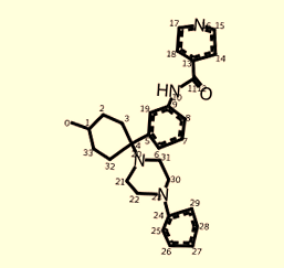 CC1CCC(c2cccc(NC(=O)c3ccncc3)c2)(N2CCN(c3ccccc3)CC2)CC1